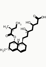 CC[C@H](C)C(=O)O[C@H]1C[C@@H](C)C=C2C=CC[C@H](CC[C@@H](O)CC(O)CC(=O)O)[C@H]21